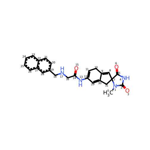 CN1C(=O)NC(=O)C12C=C1CC=C(NC(=O)CNCc3ccc4ccccc4c3)C=C1C2